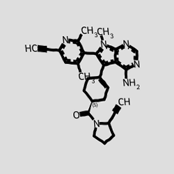 C#Cc1cc(C)c(-c2c(C3=CC[C@@H](C(=O)N4CCCC4C#C)CC3)c3c(N)ncnc3n2C)c(C)n1